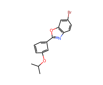 CC(C)Oc1cccc(-c2nc3ccc(Br)cc3o2)c1